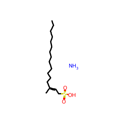 CCCCCCCCCCCCCC(C)=CCS(=O)(=O)O.N